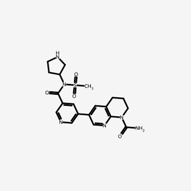 CS(=O)(=O)N(C(=O)c1cncc(-c2cnc3c(c2)CCCN3C(N)=O)c1)C1CCNC1